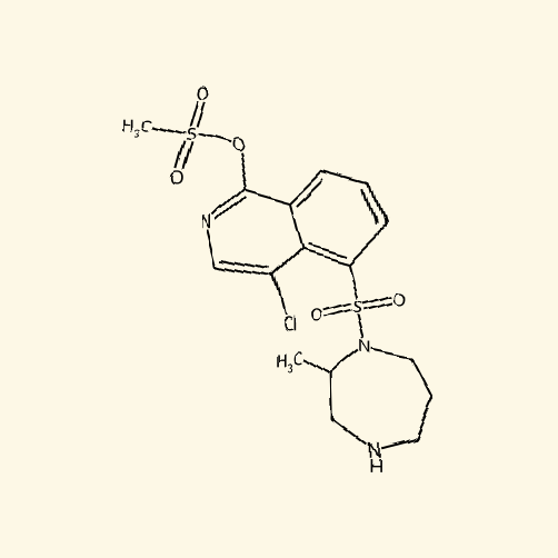 CC1CNCCCN1S(=O)(=O)c1cccc2c(OS(C)(=O)=O)ncc(Cl)c12